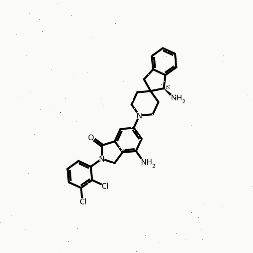 Nc1cc(N2CCC3(CC2)Cc2ccccc2[C@H]3N)cc2c1CN(c1cccc(Cl)c1Cl)C2=O